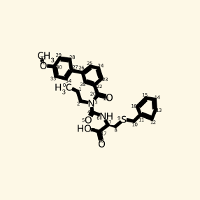 CCCN(C(=O)N[C@@H](CSCc1ccccc1)C(=O)O)C(=O)c1cccc(-c2ccc(OC)cc2)c1